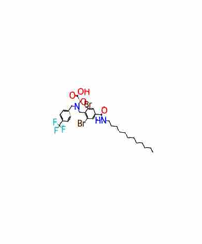 CCCCCCCCCCCCNC(=O)c1cc(Br)c(CN(Cc2ccc(C(F)(F)F)cc2)C(=O)C(=O)O)c(Br)c1